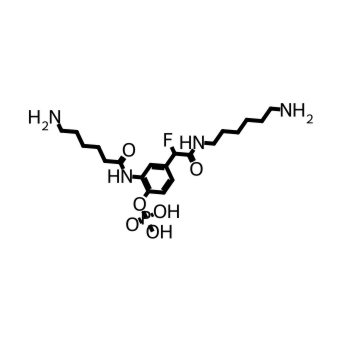 NCCCCCCNC(=O)C(F)c1ccc(OP(=O)(O)O)c(NC(=O)CCCCCN)c1